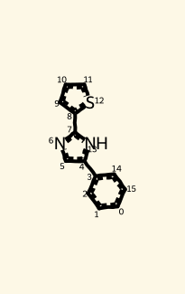 c1ccc(-c2cnc(-c3cccs3)[nH]2)cc1